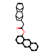 O=C(CC1CC2CC1C1C3C=CC(C3)C21)Oc1cccc2cc3ccccc3cc12